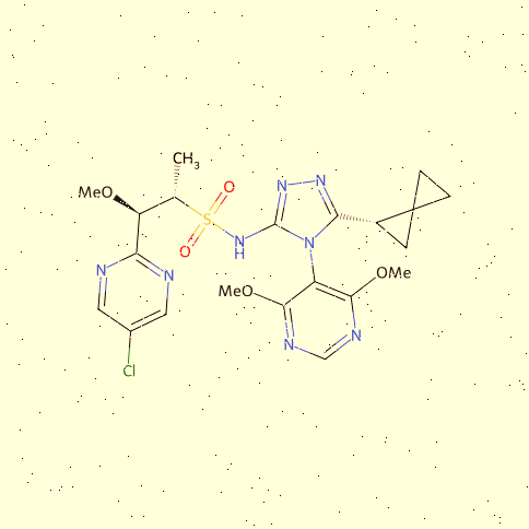 COc1ncnc(OC)c1-n1c(NS(=O)(=O)[C@@H](C)[C@H](OC)c2ncc(Cl)cn2)nnc1[C@H]1CC12CC2